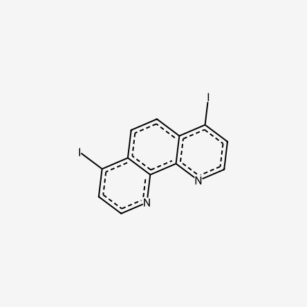 Ic1ccnc2c1ccc1c(I)ccnc12